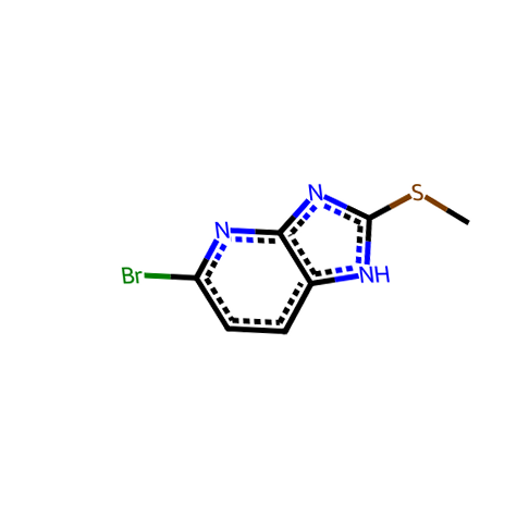 CSc1nc2nc(Br)ccc2[nH]1